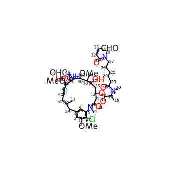 COc1cc2cc(c1Cl)N(C)C(=O)CC(OC(=O)[C@H](C)N(C)C(=O)CCCCCN(C)C(=O)/C=C\C=O)C[C@@H](O)C(C)C(OC)C[C@@](O)(NC=O)[C@H](OC)/C=C/C=C(\C)C2